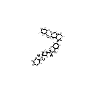 O=S(=O)(Nc1ccc(C2=NCCc3ccc(Oc4ccccc4)cc32)cc1)c1cc(S(=O)(=O)c2ccccc2)cs1